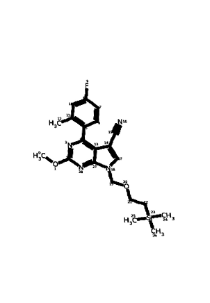 COc1nc(-c2ccc(F)cc2C)c2c(C#N)cn(COCC[Si](C)(C)C)c2n1